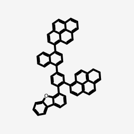 C1=c2ccc3ccc(-c4cc(-c5ccc(-c6ccc7ccc8cccc9ccc6c7c89)c6ccccc56)ccc4-c4cccc5c4oc4ccccc45)c4ccc(c2c34)CC1